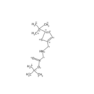 CC(C)(C)OC(=O)CNCc1ccc(C(C)(C)C)s1